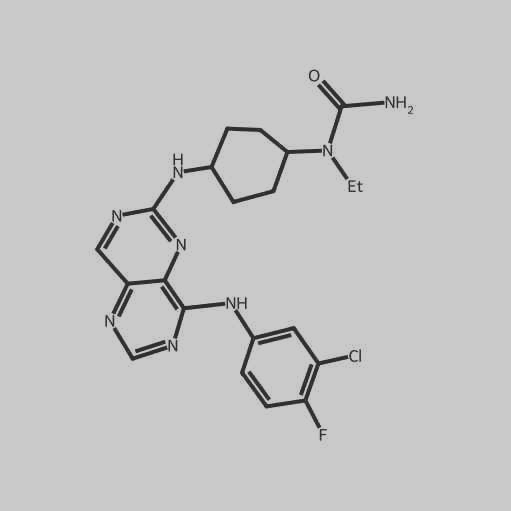 CCN(C(N)=O)C1CCC(Nc2ncc3ncnc(Nc4ccc(F)c(Cl)c4)c3n2)CC1